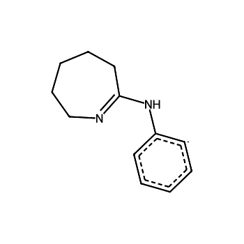 [c]1ccccc1NC1=NCCCCC1